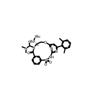 CCCCC(N(C)C)N1C(=O)c2cccc(c2)S(=O)(=O)Nc2nc(cc(-c3c(C)cccc3C)n2)OC[C@H]1CC(C)(C)C